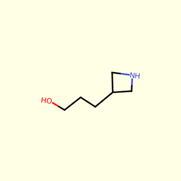 OCCCC1CNC1